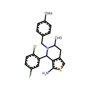 COc1ccc(CN2C(C=O)Cc3csc(N)c3C2c2cc(F)ccc2Cl)cc1